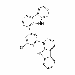 Clc1cc(-c2cccc3c2[nH]c2ccccc23)nc(-c2cccc3c2[nH]c2ccccc23)n1